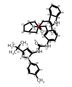 Cc1ccc(-n2nc(C(C)(C)C)cc2NC(=O)Nc2cccc(CC3CC4CCC(C3)N4C(=O)Cc3c(C)[nH]c4ccccc34)c2)cc1